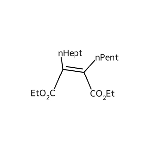 CCCCCCC/C(C(=O)OCC)=C(\CCCCC)C(=O)OCC